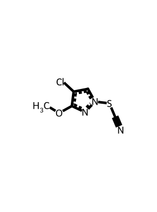 COc1nn(SC#N)cc1Cl